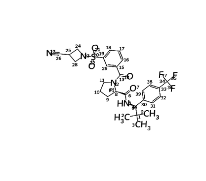 CC(C)(C)[C@@H](NC(=O)[C@H]1CCCN1C(=O)c1cccc(S(=O)(=O)N2CC(C#N)C2)c1)c1ccc(C(F)(F)F)cc1